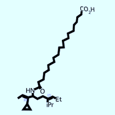 C/C=C(\C1CC1)C(CC/C(=C/CC)C(C)C)NC(=O)CCCCCCCCCCCCCCCCCCC(=O)O